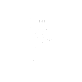 CCCS(=O)(=O)N(COCC[Si](C)(C)C)c1ccc(F)c(N)c1C#N